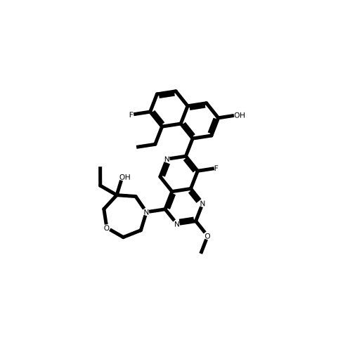 CCc1c(F)ccc2cc(O)cc(-c3ncc4c(N5CCOCC(O)(CC)C5)nc(OC)nc4c3F)c12